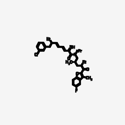 CCCN(C[C@H](C)CC(CC)C(=O)c1oc2ccc(F)cc2c1C)C(=O)C(=N)/C=C/C=C/C(CC)Cc1cccc(Cl)c1